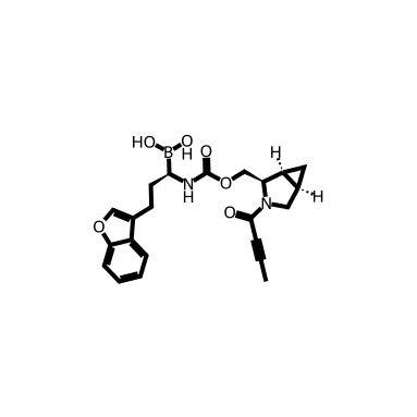 CC#CC(=O)N1C[C@@H]2C[C@@H]2[C@@H]1COC(=O)N[C@@H](CCc1coc2ccccc12)B(O)O